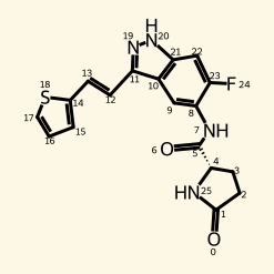 O=C1CC[C@@H](C(=O)Nc2cc3c(/C=C/c4cccs4)n[nH]c3cc2F)N1